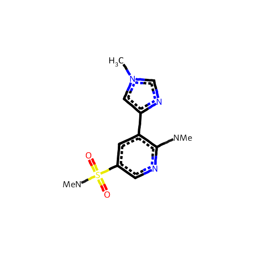 CNc1ncc(S(=O)(=O)NC)cc1-c1cn(C)cn1